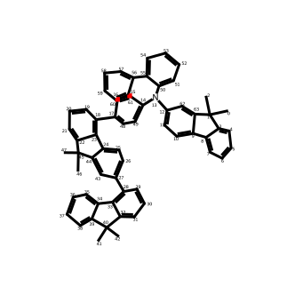 CC1(C)c2ccccc2-c2ccc(N(c3ccc(-c4cccc5c4-c4ccc(-c6cccc7c6-c6ccccc6C7(C)C)cc4C5(C)C)cc3)c3ccccc3-c3ccccc3)cc21